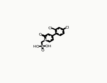 O=c1cc(-c2ccc(Cl)cc2Cl)ccn1CP(=O)(O)O